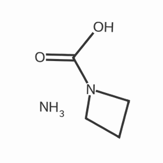 N.O=C(O)N1CCC1